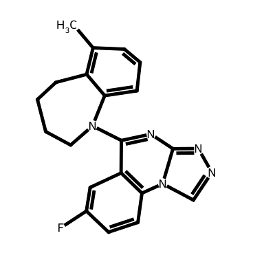 Cc1cccc2c1CCCCN2c1nc2nncn2c2ccc(F)cc12